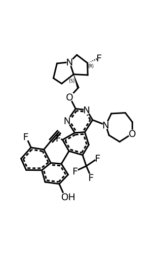 C#Cc1c(F)ccc2cc(O)cc(-c3c(C(F)(F)F)cc4c(N5CCCOCC5)nc(OC[C@@]56CCCN5C[C@H](F)C6)nc4c3F)c12